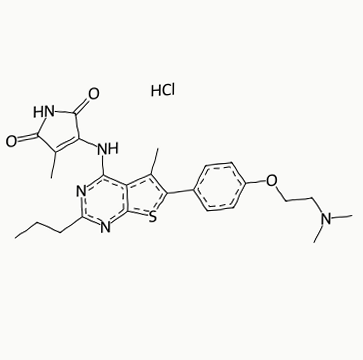 CCCc1nc(NC2=C(C)C(=O)NC2=O)c2c(C)c(-c3ccc(OCCN(C)C)cc3)sc2n1.Cl